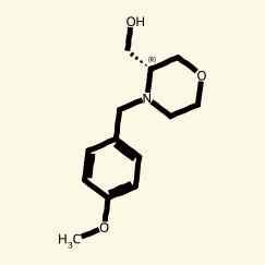 COc1ccc(CN2CCOC[C@H]2CO)cc1